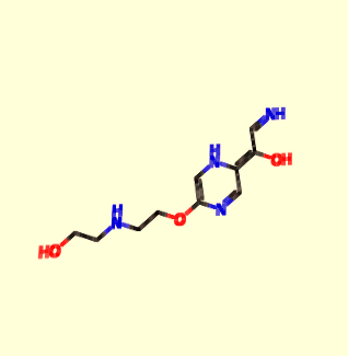 N=C/C(O)=C1/C=NC(OCCNCCO)=CN1